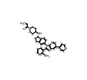 C=CC(=O)N1CCC(N[C@H]2CCc3cc(-n4c(-c5cccnc5N)nc5cc(-c6ccncc6)cnc54)ccc32)CC1